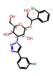 OCC(S[C@@H]1O[C@H](CO)[C@H](O)[C@H](n2cc(-c3cccc(F)c3)nn2)[C@H]1O)c1ccccc1Br